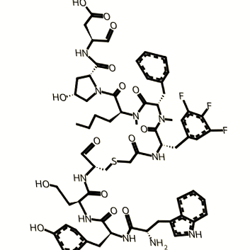 CCCC[C@@H](C(=O)N1C[C@H](O)C[C@@H]1C(=O)N[C@H](C=O)CC(=O)O)N(C)C(=O)[C@H](Cc1ccccc1)N(C)C(=O)[C@H](Cc1cc(F)c(F)c(F)c1)NC(=O)CSC[C@@H](C=O)NC(=O)[C@H](CCO)NC(=O)[C@H](Cc1ccc(O)cc1)NC(=O)[C@@H](N)Cc1c[nH]c2ccccc12